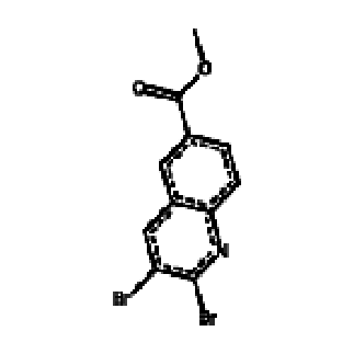 COC(=O)c1ccc2nc(Br)c(Br)cc2c1